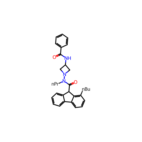 CCCCc1cccc2c1C(C(=O)N(CCC)N1CC(NC(=O)c3ccccc3)C1)c1ccccc1-2